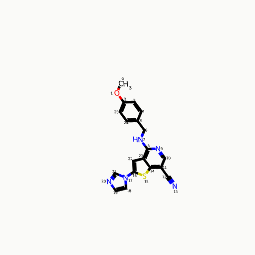 COc1ccc(CNc2ncc(C#N)c3sc(-n4ccnc4)cc23)cc1